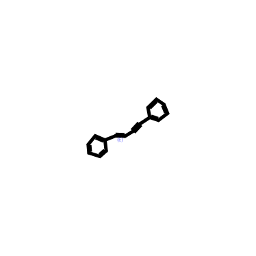 C(#Cc1ccccc1)/C=C/c1ccccc1